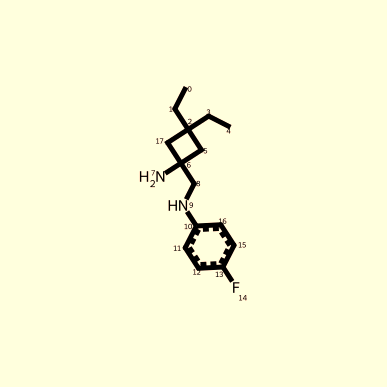 CCC1(CC)CC(N)(CNc2ccc(F)cc2)C1